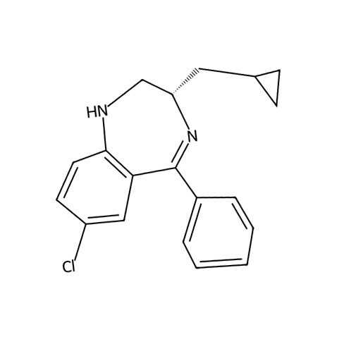 Clc1ccc2c(c1)C(c1ccccc1)=N[C@@H](CC1CC1)CN2